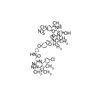 Cc1ncsc1-c1ccc([C@H](C)NC(=O)[C@@H]2C[C@@H](O)CN2C(=O)[C@@H](NC(=O)c2cc3cc(O[C@H]4C[C@@H](NC(=O)C[C@@H]5N=C(c6ccc(Cl)cc6)c6c(sc(C)c6C)-n6c(C)nnc65)C4)ccc3o2)C(C)(C)C)cc1